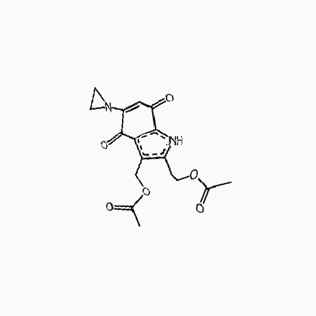 CC(=O)OCc1[nH]c2c(c1COC(C)=O)C(=O)C(N1CC1)=CC2=O